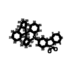 O=S1(=O)c2ccccc2-c2cc(N3c4ccccc4C4(c5ccccc5-c5ccccc54)c4ccccc43)ccc21